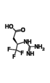 N=C(N)N[C@H](CC(=O)O)C(F)(F)F